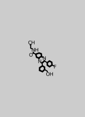 C#CCNC(=O)c1ccc2nc(-c3ccc(F)cc3)c(-c3cccc(CO)c3)nc2c1